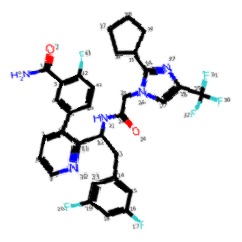 NC(=O)c1cc(-c2cccnc2C(Cc2cc(F)cc(F)c2)NC(=O)Cn2cc(C(F)(F)F)nc2C2CCCC2)ccc1F